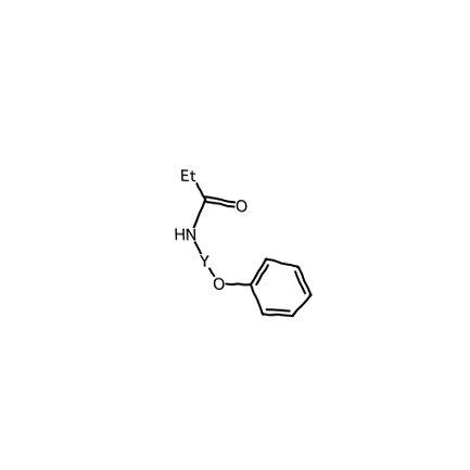 CCC(=O)[NH][Y][O]c1ccccc1